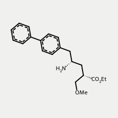 CCOC(=O)[C@H](COC)C[C@H](N)Cc1ccc(-c2ccccc2)cc1